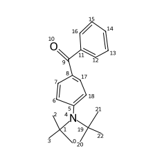 CC(C)(C)N(c1ccc(C(=O)c2ccccc2)cc1)C(C)(C)C